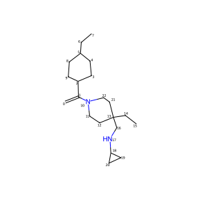 C=C(C1CCC(CC)CC1)N1CCC(CC)(CNC2CC2)CC1